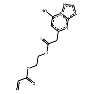 C=CC(=O)OCCOC(=O)Cc1cc(O)n2ncnc2n1